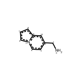 NCc1ccn2cccc2c1